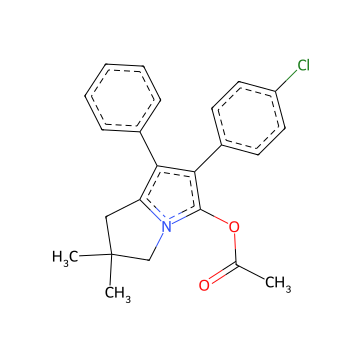 CC(=O)Oc1c(-c2ccc(Cl)cc2)c(-c2ccccc2)c2n1CC(C)(C)C2